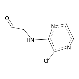 O=CCNc1nccnc1Cl